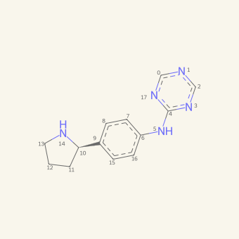 c1ncnc(Nc2ccc([C@H]3CCCN3)cc2)n1